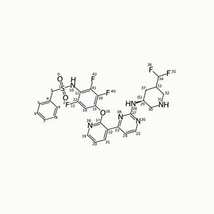 O=S(=O)(Cc1ccccc1)Nc1c(F)cc(Oc2ncccc2-c2ccnc(N[C@@H]3CNCC(C(F)F)C3)n2)c(F)c1F